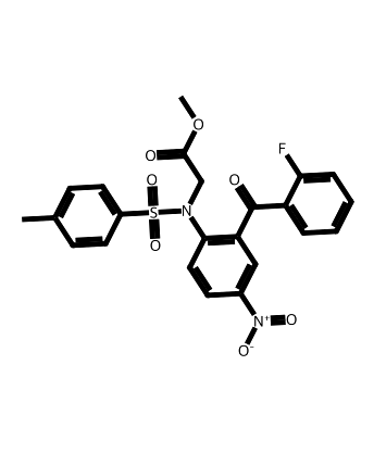 COC(=O)CN(c1ccc([N+](=O)[O-])cc1C(=O)c1ccccc1F)S(=O)(=O)c1ccc(C)cc1